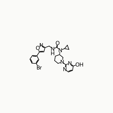 O=C(NCc1cc(-c2cccc(Br)c2)on1)N(C1CC1)[C@@H]1CCCN(c2nccc(O)n2)C1